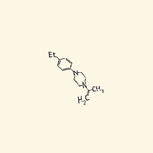 C=C(C)N1CCN(c2ccc(CC)cc2)CC1